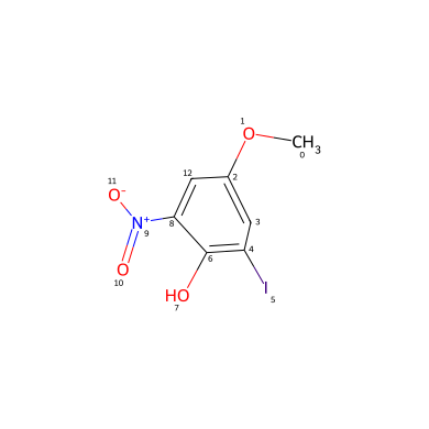 COc1cc(I)c(O)c([N+](=O)[O-])c1